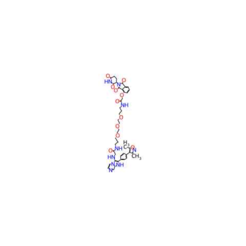 Cc1noc(C)c1-c1ccc(C2=C(NCC(=O)NCCCOCCOCCOCCCNC(=O)COc3cccc4c3C(=O)N(C3CCC(=O)NC3=O)C4=O)N3C=CN=CC3N2)cc1